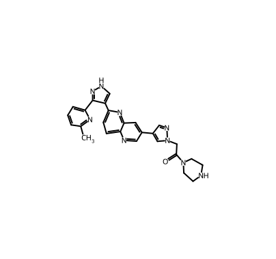 Cc1cccc(-c2n[nH]cc2-c2ccc3ncc(-c4cnn(CC(=O)N5CCNCC5)c4)cc3n2)n1